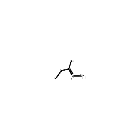 C[C]C(C)=NN